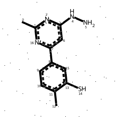 Cc1nc(NN)cc(-c2ccc(C)c(S)c2)n1